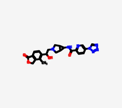 Cc1c(C(O)CN2CC3C(C2)C3NC(=O)c2ccc(-n3cnnn3)cn2)ccc2c1COC2=O